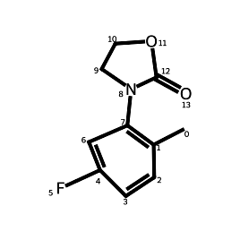 Cc1ccc(F)cc1N1CCOC1=O